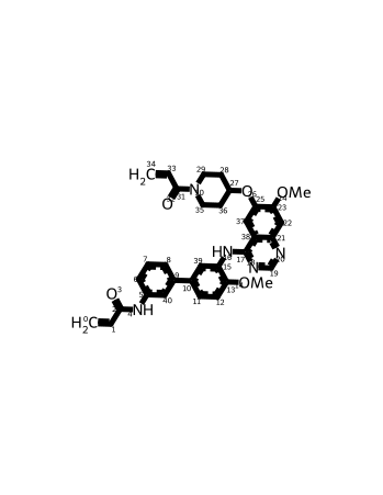 C=CC(=O)Nc1cccc(-c2ccc(OC)c(Nc3ncnc4cc(OC)c(OC5CCN(C(=O)C=C)CC5)cc34)c2)c1